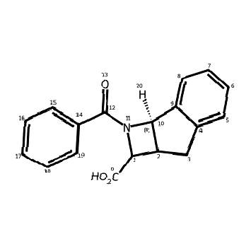 O=C(O)C1C2Cc3ccccc3[C@@H]2N1C(=O)c1ccccc1